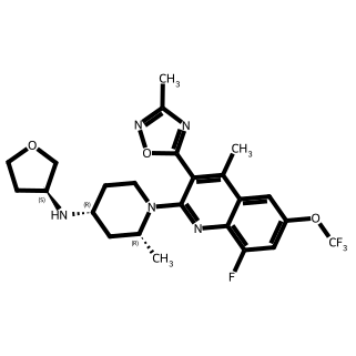 Cc1noc(-c2c(N3CC[C@@H](N[C@H]4CCOC4)C[C@H]3C)nc3c(F)cc(OC(F)(F)F)cc3c2C)n1